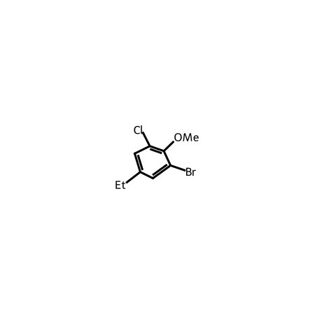 CCc1cc(Cl)c(OC)c(Br)c1